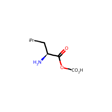 CC(C)C[C@H](N)C(=O)OC(=O)O